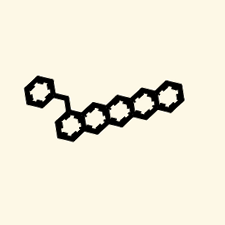 c1ccc(Cc2cccc3cc4cc5cc6ccccc6cc5cc4cc23)cc1